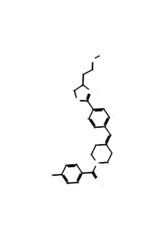 CSCCC1COC(c2ccc(C=C3CCN(C(=O)c4ccc(Cl)cc4)CC3)cc2)=N1